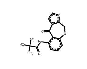 C[C@](O)(C(=O)Nc1cccc2c1C(=O)c1ccoc1CO2)C(F)(F)F